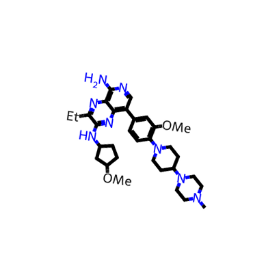 CCc1nc2c(N)ncc(-c3ccc(N4CCC(N5CCN(C)CC5)CC4)c(OC)c3)c2nc1NC1CCC(OC)C1